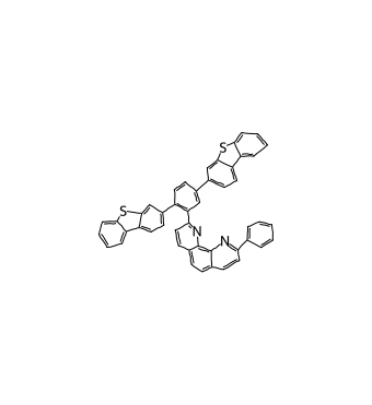 c1ccc(-c2ccc3ccc4ccc(-c5cc(-c6ccc7c(c6)sc6ccccc67)ccc5-c5ccc6c(c5)sc5ccccc56)nc4c3n2)cc1